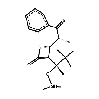 C[C@@H](C(=S)c1ccccc1)[C@H]1NC(=O)[C@@H]1[C@@](C)(O[SiH](C)C)C(C)(C)C